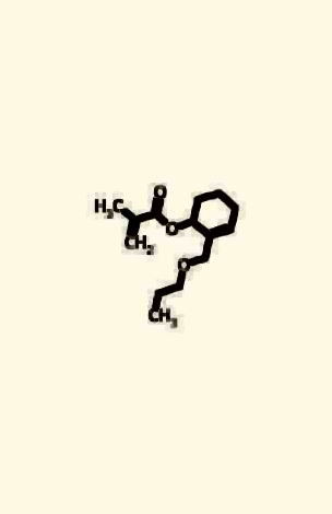 C=C(C)C(=O)OC1CCCC=C1COCCC